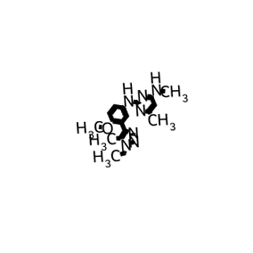 CCn1nnc(-c2cc(Nc3nc(C)cc(NC)n3)ccc2OC)c1C